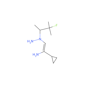 CC(N(N)/C=C(\N)C1CC1)C(C)(C)F